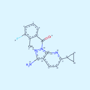 Cc1c(F)cccc1C(=O)n1nc(N)c2ccc(C3CC3)nc21